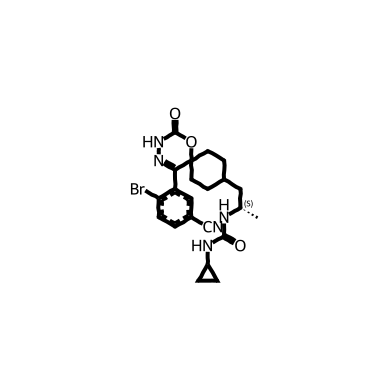 C[C@@H](CC1CCC2(CC1)OC(=O)NN=C2c1cc(C#N)ccc1Br)NC(=O)NC1CC1